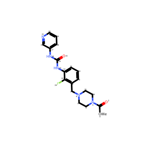 COC(=O)N1CCN(Cc2cccc(NC(=O)Nc3cccnc3)c2F)CC1